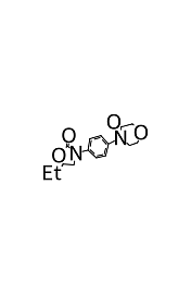 CC[C@@H]1CN(c2ccc(N3CCOCC3=O)cc2)C(=O)O1